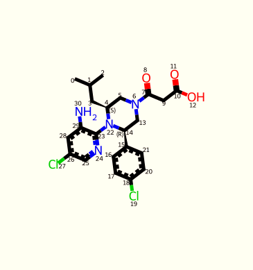 CC(C)C[C@H]1CN(C(=O)CC(=O)O)C[C@@H](c2ccc(Cl)cc2)N1c1ncc(Cl)cc1N